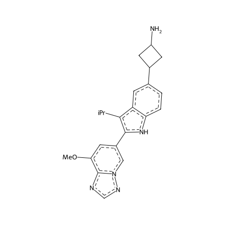 COc1cc(-c2[nH]c3ccc(C4CC(N)C4)cc3c2C(C)C)cn2ncnc12